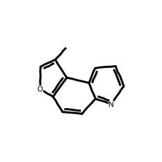 Cc1coc2ccc3ncccc3c12